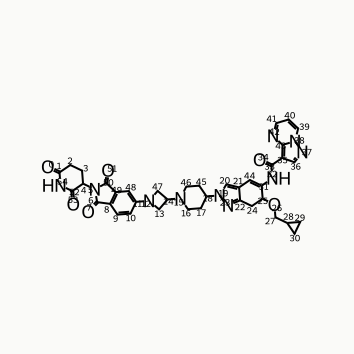 O=C1CCC(N2C(=O)c3ccc(N4CC(N5CCC(n6cc7c(n6)CC(OCC6CC6)C(NC(=O)c6cnn8cccnc68)=C7)CC5)C4)cc3C2=O)C(=O)N1